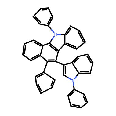 c1ccc(-c2c(-c3cn(-c4ccccc4)c4ccccc34)c3c4ccccc4n(-c4ccccc4)c3c3ccccc23)cc1